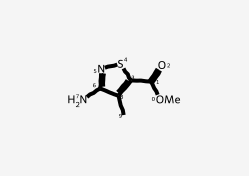 COC(=O)c1snc(N)c1C